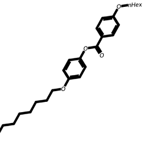 C=CCCCCCCCOc1ccc(OC(=O)c2ccc(OCCCCCC)cc2)cc1